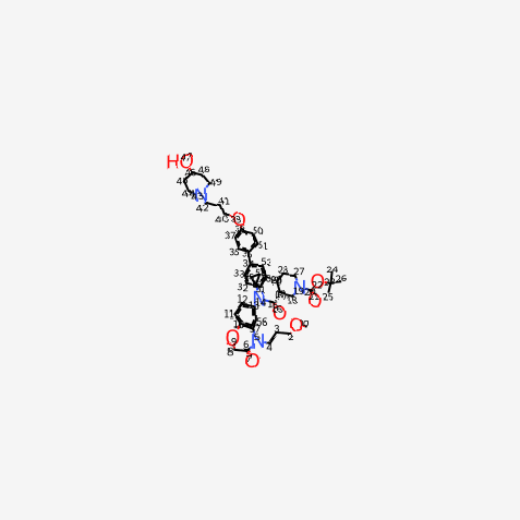 COCCCN1C(=O)COc2ccc(N(C(=O)[C@H]3CN(C(=O)OC(C)(C)C)CC[C@@H]3c3cccc(-c4ccc(OCCCN5CCC(O)CC5)cc4)c3)C3CC3)cc21